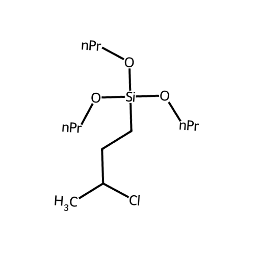 CCCO[Si](CCC(C)Cl)(OCCC)OCCC